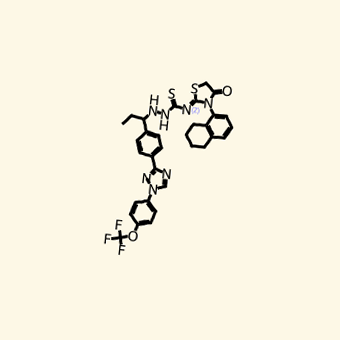 CCC(NNC(=S)/N=C1\SCC(=O)N1c1cccc2c1CCCC2)c1ccc(-c2ncn(-c3ccc(OC(F)(F)F)cc3)n2)cc1